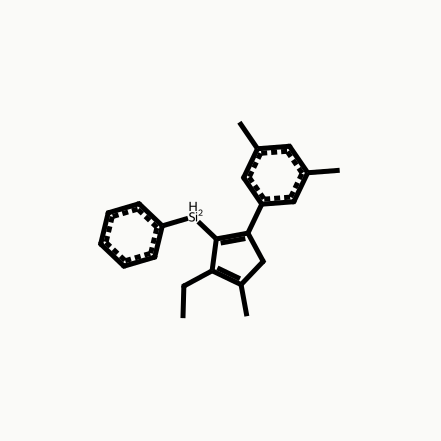 CCC1=C(C)CC(c2cc(C)cc(C)c2)=C1[SiH2]c1ccccc1